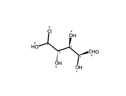 O=C[C@@H](O)[C@H](O)[C@H](O)C(O)Cl